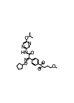 COCCCS(=O)(=O)c1ccc(/C(=N\OC2CCCC2)C(=O)Nc2cnc(OC(C)C)cn2)cc1